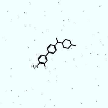 CC1CCC(C(C)c2ccc(-c3ccc(N)c(F)c3)cc2)CC1